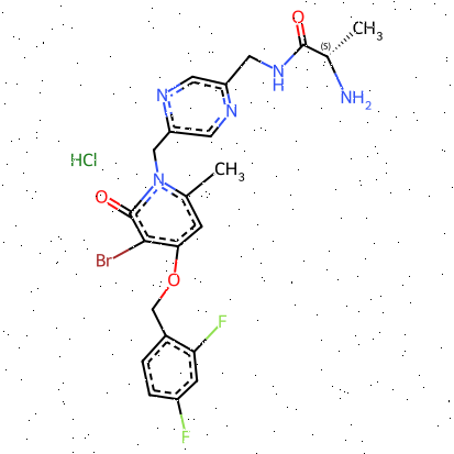 Cc1cc(OCc2ccc(F)cc2F)c(Br)c(=O)n1Cc1cnc(CNC(=O)[C@H](C)N)cn1.Cl